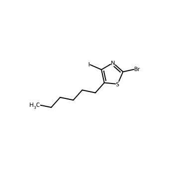 CCCCCCc1sc(Br)nc1I